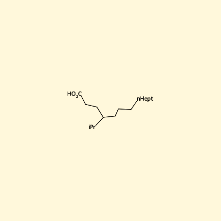 CCCCCCCCCCC(CCC(=O)O)C(C)C